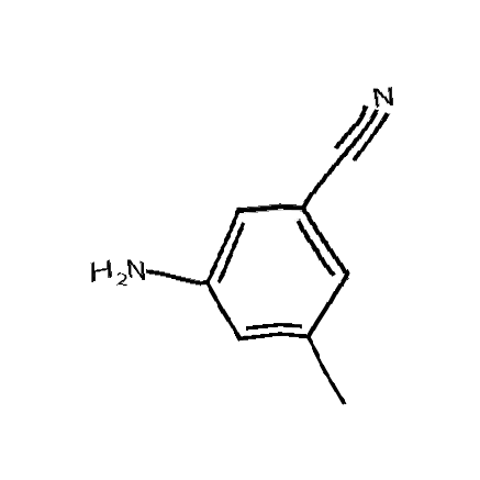 Cc1cc(N)cc(C#N)c1